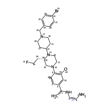 C=C(N/C=C\N)c1cnc(N2CCN(C3CCN(Cc4ccc(Br)cc4)CC3)[C@@H](CCF)C2)c(Cl)c1